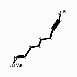 [CH2]CCC#CCCCCC=NOC